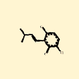 CC(C)/C=C/c1c(Cl)ccc(Cl)c1Cl